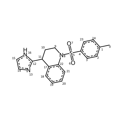 Cc1ccc(S(=O)(=O)N2CCC(c3ncc[nH]3)c3ccccc32)cc1